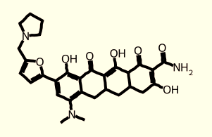 CN(C)c1cc(-c2ccc(CN3CCCC3)o2)c(O)c2c1CC1CC3CC(O)=C(C(N)=O)C(=O)C3C(O)=C1C2=O